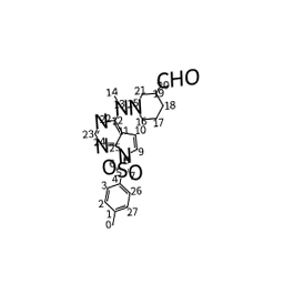 Cc1ccc(S(=O)(=O)n2ccc3c(N(C)N4CCCC(C=O)C4)ncnc32)cc1